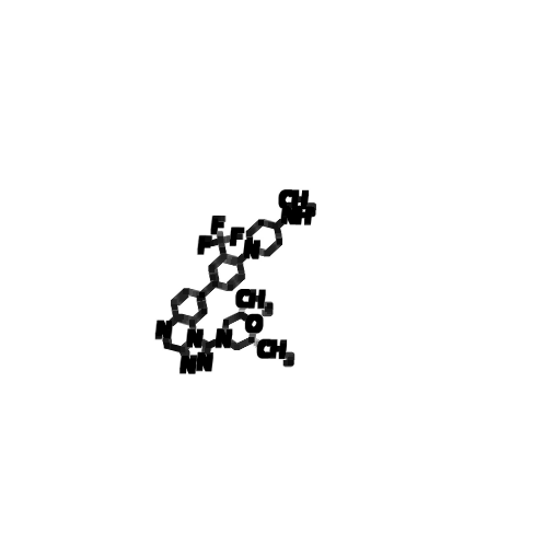 CNC1CCN(c2ccc(-c3ccc4ncc5nnc(N6C[C@@H](C)O[C@@H](C)C6)n5c4c3)cc2C(F)(F)F)CC1